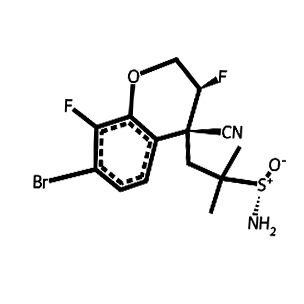 CC(C)(C[C@]1(C#N)c2ccc(Br)c(F)c2OC[C@H]1F)[S@@+](N)[O-]